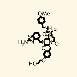 COc1ccc(CNC(=O)N(C(C)C)N2CC(=O)N3[C@@H](Cc4ccc(OCCO)cc4)C(=O)N(Cc4cccc5sc(N)nc45)C[C@@H]32)cc1